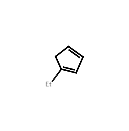 CCC1=CC=[C]C1